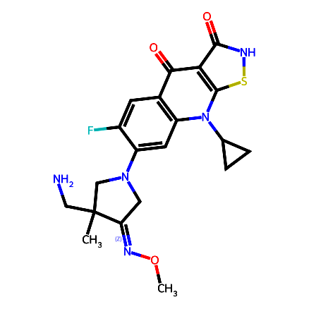 CO/N=C1\CN(c2cc3c(cc2F)c(=O)c2c(=O)[nH]sc2n3C2CC2)CC1(C)CN